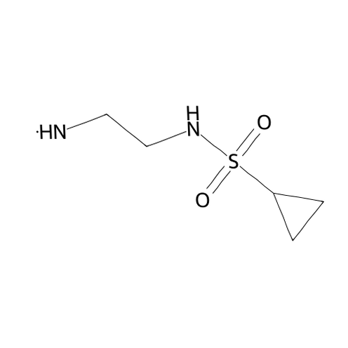 [NH]CCNS(=O)(=O)C1CC1